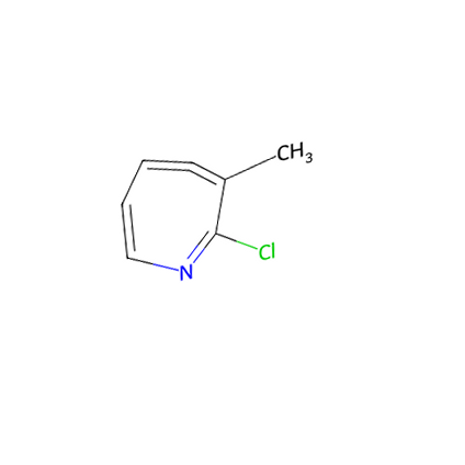 CC1=C=CC=CN=C1Cl